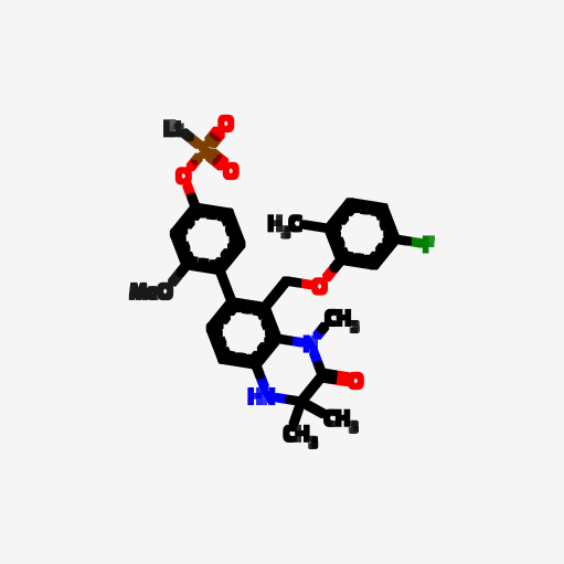 CCS(=O)(=O)Oc1ccc(-c2ccc3c(c2COc2cc(F)ccc2C)N(C)C(=O)C(C)(C)N3)c(OC)c1